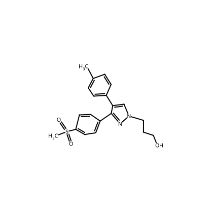 Cc1ccc(-c2cn(CCCO)nc2-c2ccc(S(C)(=O)=O)cc2)cc1